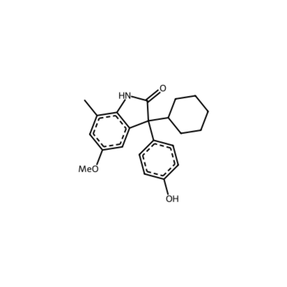 COc1cc(C)c2c(c1)C(c1ccc(O)cc1)(C1CCCCC1)C(=O)N2